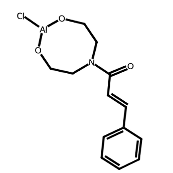 O=C(C=Cc1ccccc1)N1CC[O][Al]([Cl])[O]CC1